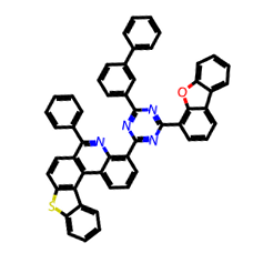 c1ccc(-c2cccc(-c3nc(-c4cccc5c4nc(-c4ccccc4)c4ccc6sc7ccccc7c6c45)nc(-c4cccc5c4oc4ccccc45)n3)c2)cc1